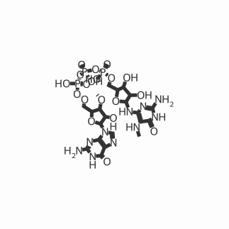 CNc1c(NC2OC(COP(=O)(O)OP(=O)(O)OP(=O)(O)OOCC3OC(n4cnc5c(=O)[nH]c(N)nc54)C(O)C3OC)C(O)C2O)nc(N)[nH]c1=O